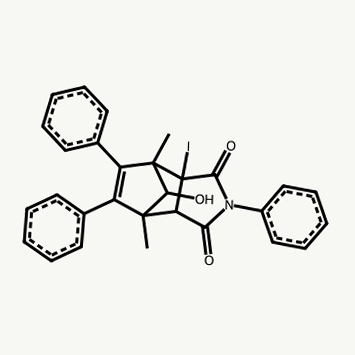 CC12C(c3ccccc3)=C(c3ccccc3)C(C)(C1O)C1(I)C(=O)N(c3ccccc3)C(=O)C21